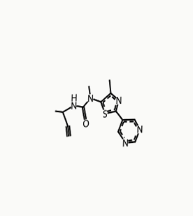 C#CC(C)NC(=O)N(C)c1sc(-c2cncnc2)nc1C